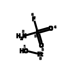 CCO.NS(=O)(=O)F